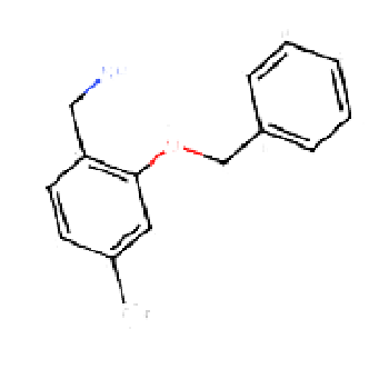 CCCc1ccc(CN)c(OCc2ccccc2)c1